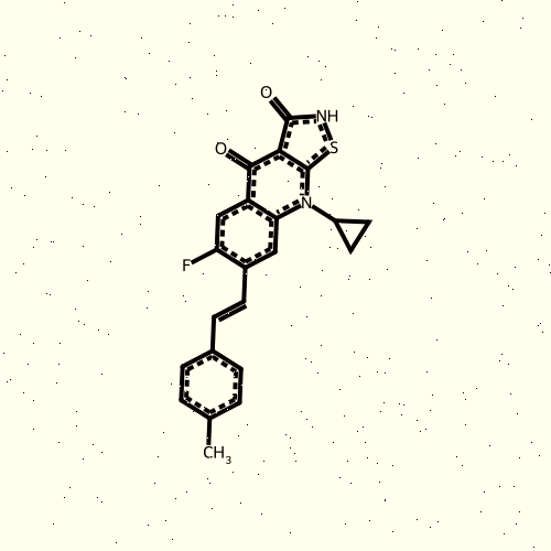 Cc1ccc(C=Cc2cc3c(cc2F)c(=O)c2c(=O)[nH]sc2n3C2CC2)cc1